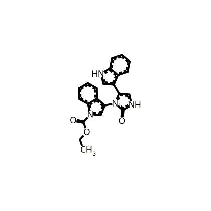 CCOC(=O)n1cc(-n2c(-c3c[nH]c4ccccc34)c[nH]c2=O)c2ccccc21